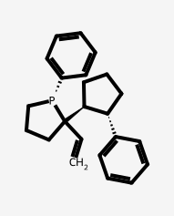 C=CC1([C@H]2CCC[C@@H]2c2ccccc2)CCC[P@]1c1ccccc1